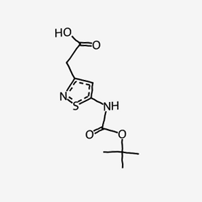 CC(C)(C)OC(=O)Nc1cc(CC(=O)O)ns1